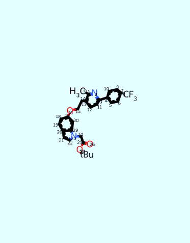 Cc1nc(-c2ccc(C(F)(F)F)cc2)ccc1CCOc1ccc2ccn(CC(=O)OC(C)(C)C)c2c1